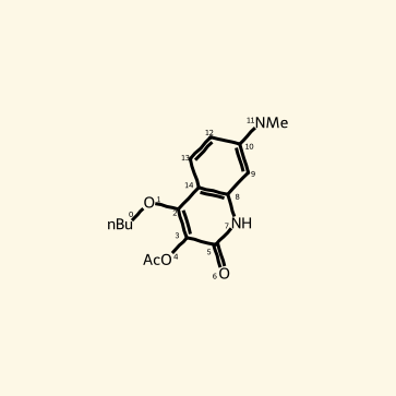 CCCCOc1c(OC(C)=O)c(=O)[nH]c2cc(NC)ccc12